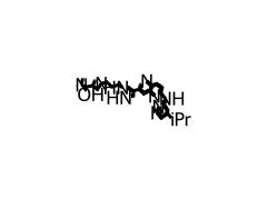 CC(C)c1cnnc(Nc2ccc3ncc(/C(C=N)=C/NCCCN4CC(C(O)N(C)C)C4)cc3n2)c1